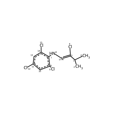 CC(C)C(Cl)=NNc1c(Cl)cc(Cl)cc1Cl